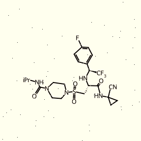 CC(C)NC(=O)N1CCN(S(=O)(=O)C[C@H](N[C@@H](c2ccc(F)cc2)C(F)(F)F)C(=O)NC2(C#N)CC2)CC1